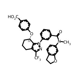 CN(C(=O)c1cccc(-n2nc(C(F)(F)F)c3c2[C@@H](Oc2ccc(C(=O)O)cc2)CCC3)c1)c1ccc2c(c1)OCC2